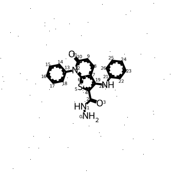 NNC(=O)c1sc2c(ccc(=O)n2-c2ccccc2)c1Nc1ccccc1